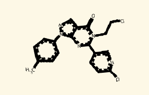 Cc1ccc(-n2ncc3c(=O)n(CCCl)c(-c4ccc(Cl)nc4)nc32)cc1